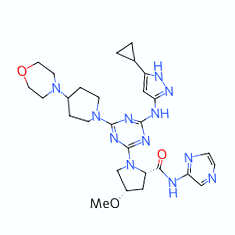 CO[C@H]1C[C@@H](C(=O)Nc2cnccn2)N(c2nc(Nc3cc(C4CC4)[nH]n3)nc(N3CCC(N4CCOCC4)CC3)n2)C1